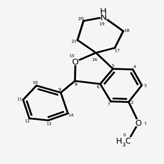 COc1ccc2c(c1)C(c1ccccc1)OC21CCNCC1